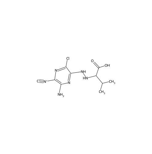 [C-]#[N+]c1nc(Cl)c(NNC(C(=O)O)C(C)C)nc1N